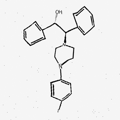 O[C@@H](c1ccccc1)[C@@H](c1ccccc1)N1CCN(c2ccc(F)cc2)CC1